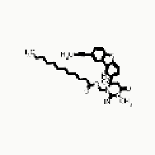 CC#Cc1ccc2sc3ccc([C@]4(C)CC(=O)N(C)C(=N)N4COC(=O)CCCCCCCCCCC)cc3c2c1